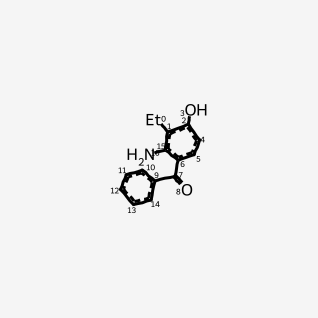 CCc1c(O)ccc(C(=O)c2ccccc2)c1N